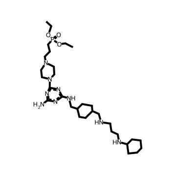 CCOP(=O)(CCCN1CCN(c2nc(N)nc(NCC3CCC(CNCCCNC4CCCCC4)CC3)n2)CC1)OCC